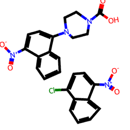 O=C(O)N1CCN(c2ccc([N+](=O)[O-])c3ccccc23)CC1.O=[N+]([O-])c1ccc(Cl)c2ccccc12